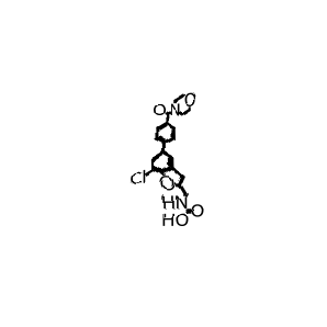 O=C(O)NCC1Cc2cc(-c3ccc(C(=O)N4CCOCC4)cc3)cc(Cl)c2O1